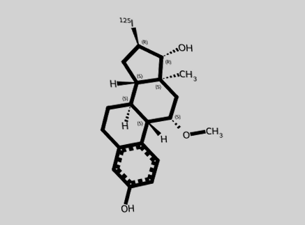 CO[C@H]1C[C@]2(C)[C@@H](O)[C@H]([125I])C[C@H]2[C@@H]2CCc3cc(O)ccc3[C@H]21